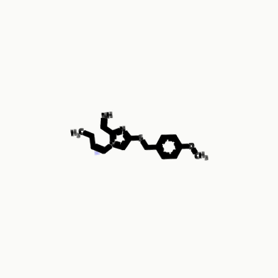 CC/C=C\n1cc(SCc2ccc(OC)cc2)nc1C=N